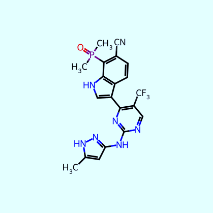 Cc1cc(Nc2ncc(C(F)(F)F)c(-c3c[nH]c4c(P(C)(C)=O)c(C#N)ccc34)n2)n[nH]1